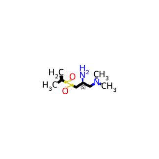 C=C(C)S(=O)(=O)C[C@@H](N)CN(C)C